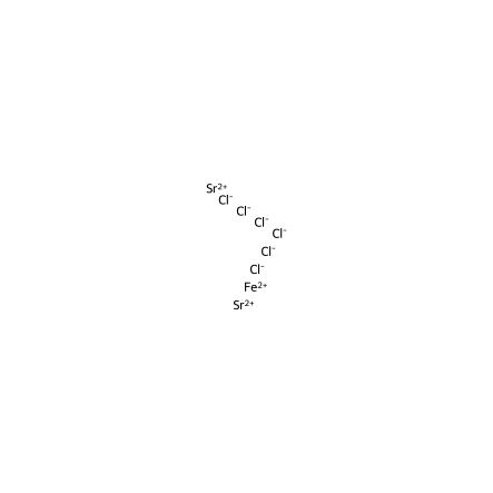 [Cl-].[Cl-].[Cl-].[Cl-].[Cl-].[Cl-].[Fe+2].[Sr+2].[Sr+2]